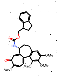 COc1cc2c(c(OC)c1OC)-c1ccc(OC)c(=O)cc1C(NC(=O)OCC1CCc3ccccc31)CC2